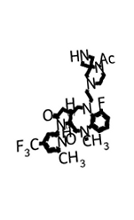 CC(=O)N1CCN(CCN2C[C@H]3CC(=O)N(c4cc(C(F)(F)F)cc(C)n4)[C@@H]3C(=O)N(C)c3cccc(F)c32)CC12CNC2